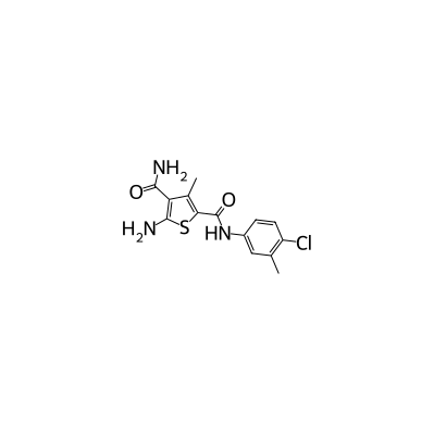 Cc1cc(NC(=O)c2sc(N)c(C(N)=O)c2C)ccc1Cl